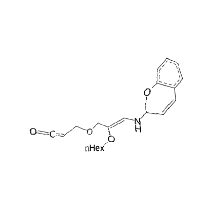 CCCCCCOC(=CNC1C=Cc2ccccc2O1)COCC=C=O